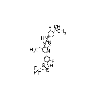 CCc1cc(-c2ccc(NS(=O)(=O)CCC(F)(F)F)c(F)c2)nc2cnc(N[C@H]3CCC(N(C)C)C(F)C3)nc12